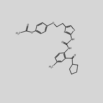 CC(=O)Oc1ccc(OCCc2csc(NC(=O)Nc3ccc(C)cc3C(=O)C3CCCC3)n2)cc1